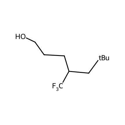 CC(C)(C)CC(CCCO)C(F)(F)F